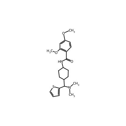 COc1ccc(C(=O)NC2CCC(C(c3cccs3)N(C)C)CC2)c(OC)c1